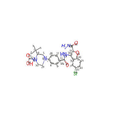 CC(C)(C)C1CN(c2ccc(C(=O)Nc3c(C(N)=O)oc4ccc(Br)cc34)cc2)CCN1C(=O)O